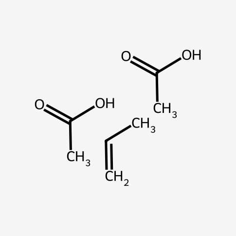 C=CC.CC(=O)O.CC(=O)O